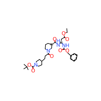 CCOC(=O)C[C@@H](NC(=O)OCc1ccccc1)NC(=O)[C@@H]1CCCN(C(=O)CCC2CCN(C(=O)OC(C)(C)C)CC2)C1